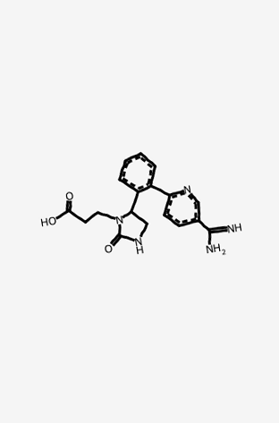 N=C(N)c1ccc(-c2ccccc2C2CNC(=O)N2CCC(=O)O)nc1